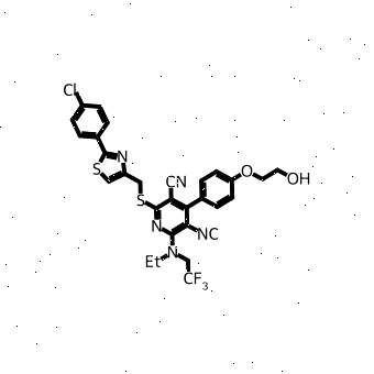 [C-]#[N+]c1c(N(CC)CC(F)(F)F)nc(SCc2csc(-c3ccc(Cl)cc3)n2)c(C#N)c1-c1ccc(OCCO)cc1